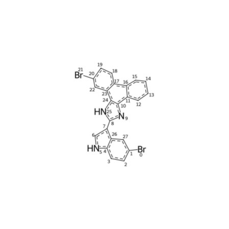 Brc1ccc2[nH]cc(-c3nc4c5ccccc5c5ccc(Br)cc5c4[nH]3)c2c1